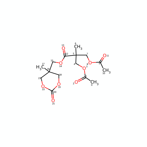 CC(=O)OCC(C)(COC(C)=O)C(=O)OCC1(C)COC(=O)OC1